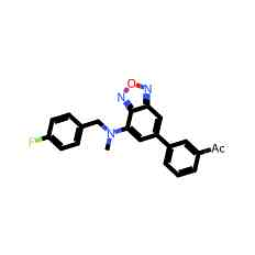 CC(=O)c1cccc(-c2cc(N(C)Cc3ccc(F)cc3)c3nonc3c2)c1